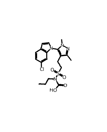 CCCN(C(=O)O)S(=O)(=O)CCc1c(C)nn(C)c1-n1ccc2ccc(Cl)cc21